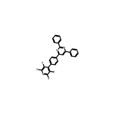 Fc1nc(F)c(F)c(-c2ccc(-c3cc(-c4ccccc4)nc(-c4ccccc4)n3)cc2)c1F